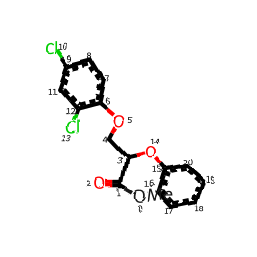 COC(=O)C(COc1ccc(Cl)cc1Cl)Oc1ccccc1